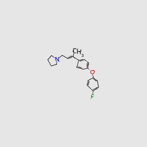 CC(=CCN1CCCC1)c1ccc(Oc2ccc(F)cc2)cc1